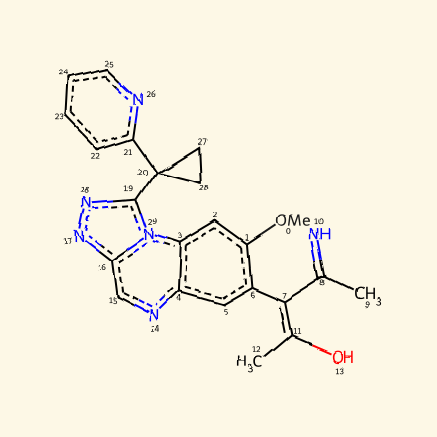 COc1cc2c(cc1/C(C(C)=N)=C(\C)O)ncc1nnc(C3(c4ccccn4)CC3)n12